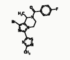 Cc1nsc(-c2nc(Br)c3n2CCN(C(=O)c2ccc(F)cc2)C3C)n1